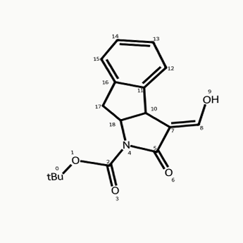 CC(C)(C)OC(=O)N1C(=O)/C(=C/O)C2c3ccccc3CC21